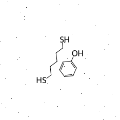 Oc1ccccc1.SCCCCCS